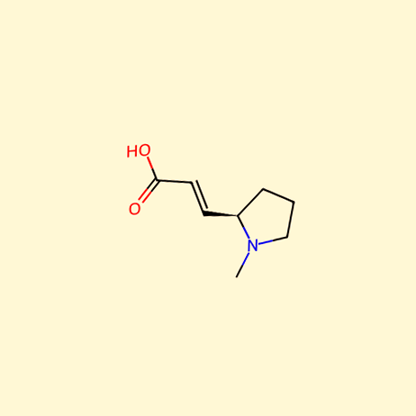 CN1CCC[C@@H]1C=CC(=O)O